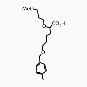 COCCCOC(CCCCOCc1ccc(C)cc1)C(=O)O